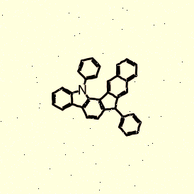 c1ccc(C2c3cc4ccccc4cc3-c3c2ccc2c4ccccc4n(-c4ccccc4)c32)cc1